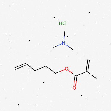 C=CCCCOC(=O)C(=C)C.CN(C)C.Cl